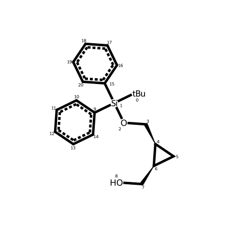 CC(C)(C)[Si](OC[C@H]1C[C@H]1CO)(c1ccccc1)c1ccccc1